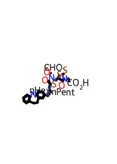 CCCCCCN1c2ccccc2CCc2cc(/C=C(\C=c3/s/c(=C4/SC(=S)N(CC(=O)O)C4=O)n(COC=O)c3=O)CCCCC)ccc21